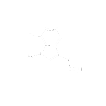 CC(=O)n1cc(CC(=O)O)c2cccc(F)c21